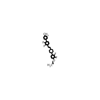 C=CCOc1ccc(C2CCC(/C=C/c3ccc(-c4ccc(C)cc4)c(F)c3F)CC2)c(F)c1F